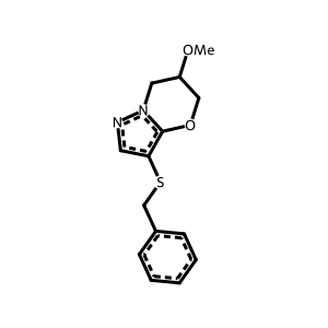 COC1COc2c(SCc3ccccc3)cnn2C1